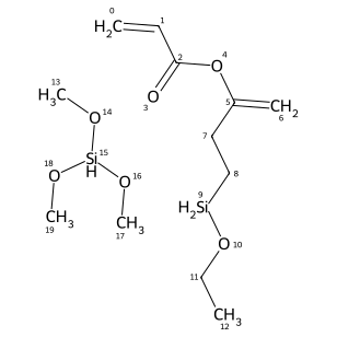 C=CC(=O)OC(=C)CC[SiH2]OCC.CO[SiH](OC)OC